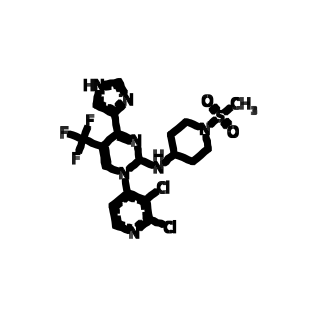 CS(=O)(=O)N1CCC(NC2N=C(c3c[nH]cn3)C(C(F)(F)F)=CN2c2ccnc(Cl)c2Cl)CC1